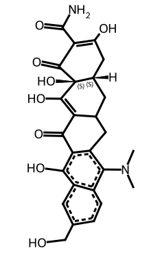 CN(C)c1c2c(c(O)c3cc(CO)ccc13)C(=O)C1=C(O)[C@]3(O)C(=O)C(C(N)=O)=C(O)C[C@@H]3CC1C2